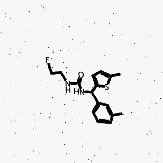 Cc1cccc(C(NC(=O)NCCF)c2ccc(C)s2)c1